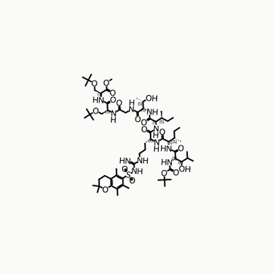 CC[C@H](C)[C@H](NC(=O)[C@@H](NC(=O)OC(C)(C)C)[C@H](O)C(C)C)C(=O)N[C@H](CCCNC(=N)NS(=O)(=O)c1c(C)c(C)c2c(c1C)CCC(C)(C)O2)C(=O)N[C@H](C(=O)N[C@H](C(=O)NCC(=O)N[C@@H](COC(C)(C)C)C(=O)N[C@@H](COC(C)(C)C)C(=O)OC)[C@H](C)O)[C@@H](C)CC